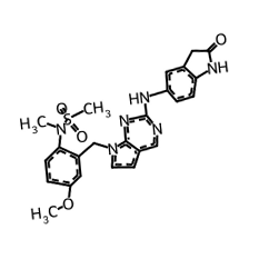 COc1ccc(N(C)S(C)(=O)=O)c(Cn2ccc3cnc(Nc4ccc5c(c4)CC(=O)N5)nc32)c1